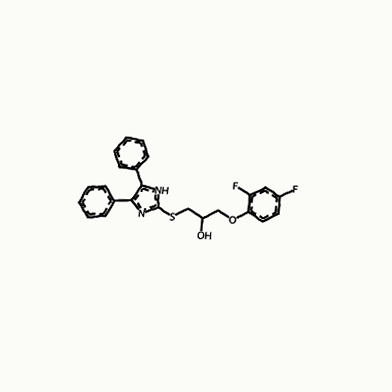 OC(COc1ccc(F)cc1F)CSc1nc(-c2ccccc2)c(-c2ccccc2)[nH]1